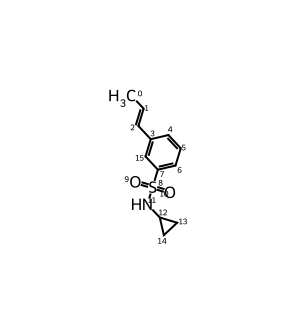 CC=Cc1cccc(S(=O)(=O)NC2CC2)c1